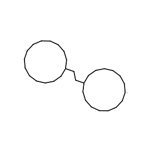 [CH]1CCCCCCCC(CCC2CCCCCC[CH]CCCCCCC2)CCCCCC1